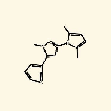 Cc1ccc(C)n1-c1cc(-c2cccnc2)n(C)n1